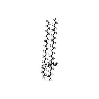 CCCCCCCCC=CCCCCCCCC(=O)OCCCC.CCCCCCCCC=CCCCCCCCC(=O)OCCCCC